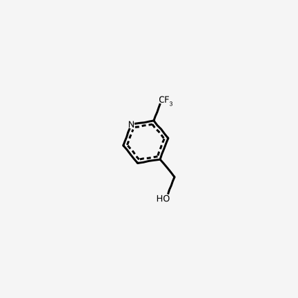 OCc1ccnc(C(F)(F)F)c1